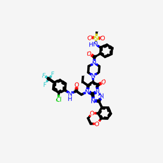 CCc1c(N2CCN(C(=O)c3ccccc3NS(C)(=O)=O)CC2)c(=O)n2nc(-c3cccc4c3OCCO4)nc2n1CC(=O)Nc1ccc(C(F)(F)F)cc1Cl